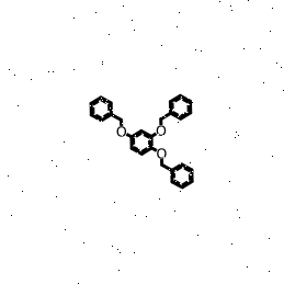 c1ccc(COc2ccc(OCc3ccccc3)c(OCc3ccccc3)c2)cc1